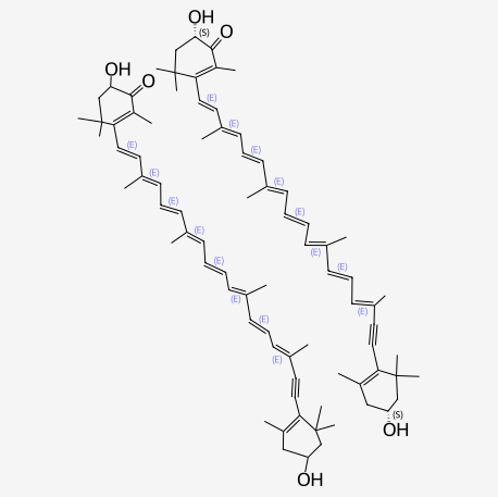 CC1=C(C#C/C(C)=C/C=C/C(C)=C/C=C/C=C(C)/C=C/C=C(C)/C=C/C2=C(C)C(=O)C(O)CC2(C)C)C(C)(C)CC(O)C1.CC1=C(C#C/C(C)=C/C=C/C(C)=C/C=C/C=C(C)/C=C/C=C(C)/C=C/C2=C(C)C(=O)[C@@H](O)CC2(C)C)C(C)(C)C[C@H](O)C1